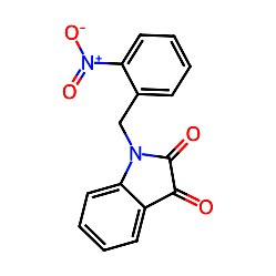 O=C1C(=O)N(Cc2ccccc2[N+](=O)[O-])c2ccccc21